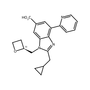 O=C(O)c1cc(-c2ccccn2)c2nc(CC3CC3)n(C[C@@H]3CCO3)c2c1